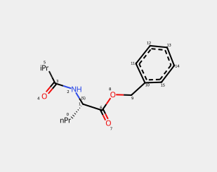 CCC[C@H](NC(=O)C(C)C)C(=O)OCc1ccccc1